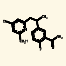 CCc1cc(CC(C)c2ccc(F)c(C(N)=O)c2)nc(C(=O)O)c1